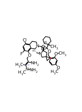 COc1ccc(COC(=O)[C@@]2(C)CCCC[C@H]2C(=O)N2CCc3c(Cl)cc(F)c(OC/C(N)=C(\C)N(C)N)c3[C@H]2CN2CC3(CC3)CC2=O)c(OC)c1